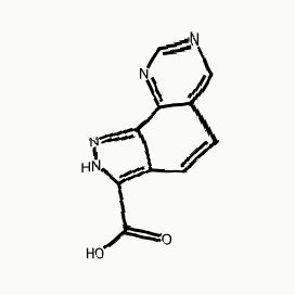 O=C(O)c1[nH]nc2c1ccc1cncnc12